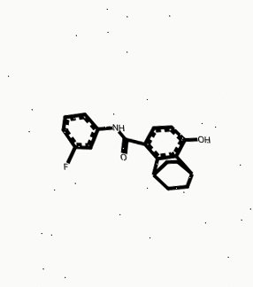 O=C(Nc1cccc(F)c1)c1ccc(O)c2c1C1CCC2CC1